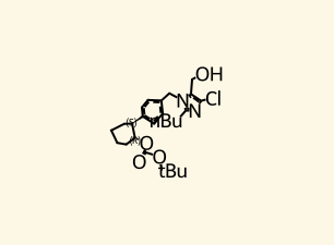 CCCCc1nc(Cl)c(CO)n1Cc1ccc([C@@H]2CCCC[C@H]2OC(=O)OC(C)(C)C)cc1